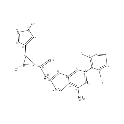 Cc1cccc(F)c1-c1cc2cc(NC(=O)[C@@H]3[C@H](C)[C@H]3c3cnn(C)c3)ncc2c(N)n1